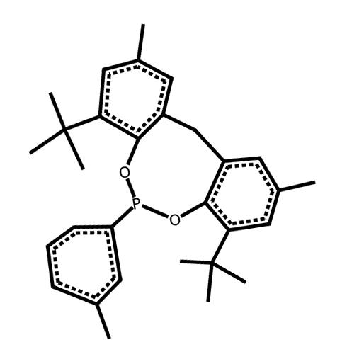 Cc1cccc(P2Oc3c(cc(C)cc3C(C)(C)C)Cc3cc(C)cc(C(C)(C)C)c3O2)c1